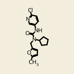 Cc1ccc(CN(C(=O)Nc2ccc(Cl)nc2)C2CCCC2)o1